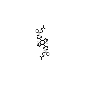 CC(C)COC(=O)c1ccc(-c2c3ccsc3c(-c3ccc(C(=O)OCC(C)C)s3)c3ccsc23)s1